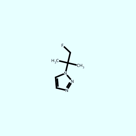 CC(C)(CF)n1ccnn1